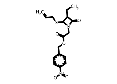 C=CCSC1C(CC)C(=O)N1CC(=O)OCc1ccc([N+](=O)[O-])cc1